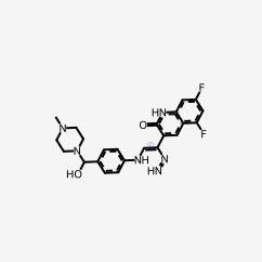 CN1CCN(C(O)c2ccc(N/C=C(\N=N)c3cc4c(F)cc(F)cc4[nH]c3=O)cc2)CC1